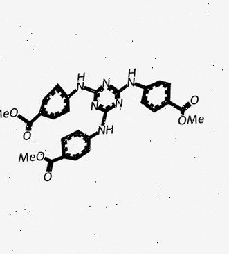 COC(=O)c1ccc(Nc2nc(Nc3ccc(C(=O)OC)cc3)nc(Nc3ccc(C(=O)OC)cc3)n2)cc1